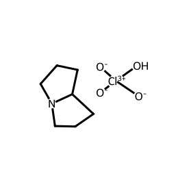 C1CC2CCCN2C1.[O-][Cl+3]([O-])([O-])O